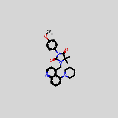 CC1(C)C(=O)N(c2ccc(OC(F)(F)F)cc2)C(=O)N1Cc1ccnc2cccc(N3CCCCC3)c12